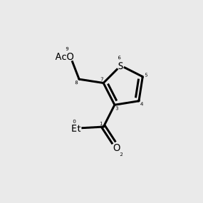 CCC(=O)c1ccsc1COC(C)=O